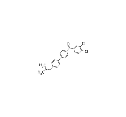 CN(C)Cc1ccc(-c2ccc(C(=O)c3ccc(Cl)c(Cl)c3)cc2)cc1